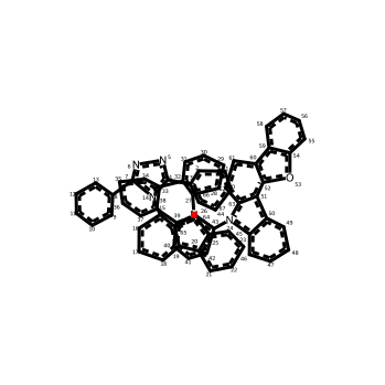 c1ccc(-c2nnc(-c3ccccc3)n2-c2cccc3c4ccccc4n(-c4ccccc4-c4ccccc4-c4cccc(-n5c6ccccc6c6c7oc8ccccc8c7ccc65)c4)c23)cc1